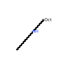 C=CCCCCCCCC=CCCCCCCCCNCCCCCCCCC=CCCCCCCCC